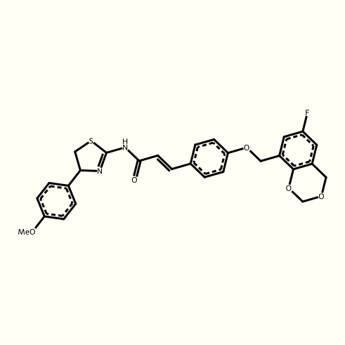 COc1ccc(C2CSC(NC(=O)/C=C/c3ccc(OCc4cc(F)cc5c4OCOC5)cc3)=N2)cc1